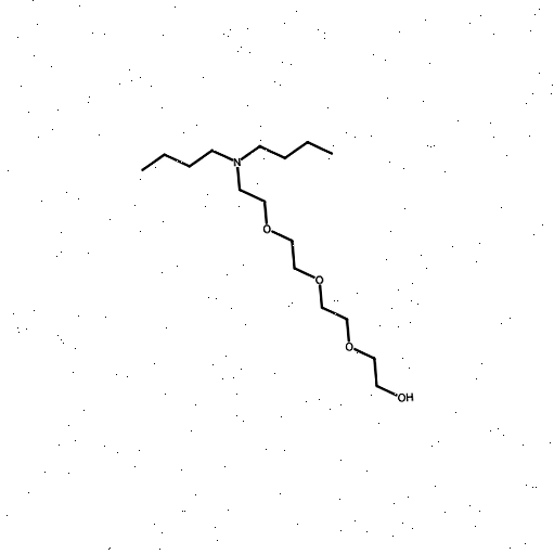 CCCCN(CCCC)CCOCCOCCOCCO